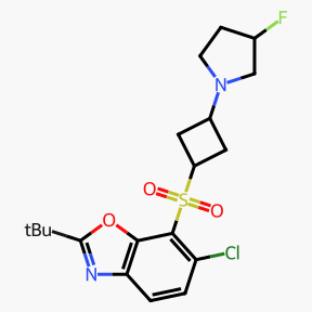 CC(C)(C)c1nc2ccc(Cl)c(S(=O)(=O)C3CC(N4CCC(F)C4)C3)c2o1